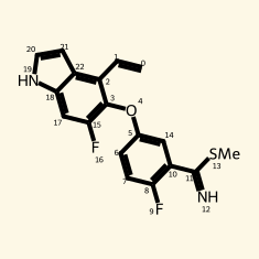 C=Cc1c(Oc2ccc(F)c(C(=N)SC)c2)c(F)cc2[nH]ccc12